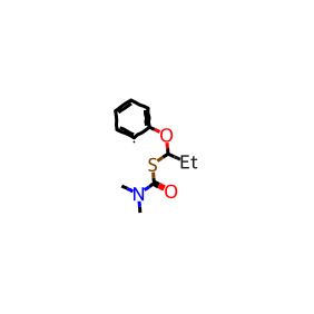 CCC(Oc1[c]cccc1)SC(=O)N(C)C